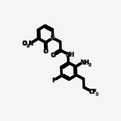 Nc1c(CCC(F)(F)F)cc(F)cc1NC(=O)Cn1cccc([N+](=O)[O-])c1=O